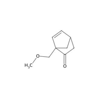 COCC12C=CC(CC1=O)C2